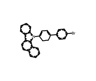 Brc1ccc(C2=CC=C(n3c4ccccc4c4ccc5ccccc5c43)CC2)cc1